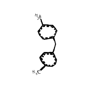 Bc1ccc(Cc2ccc(C)cc2)cc1